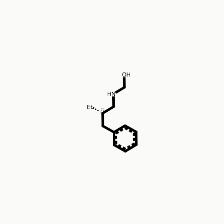 CC[C@H](CNCO)Cc1ccccc1